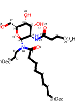 CCCCCCCCCCCCCCCCCC(=O)N(CCCCCCCCCCCC)[C@@H]1O[C@H](CO)[C@H](O)[C@H](O)[C@@H]1NC(=O)CCC(=O)O